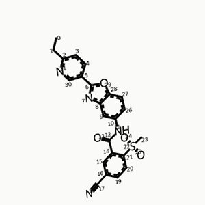 CCc1ccc(-c2nc3cc(NC(=O)c4cc(C#N)ccc4S(C)(=O)=O)ccc3o2)cn1